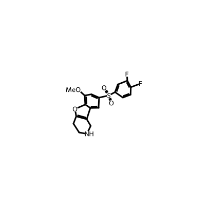 COc1cc(S(=O)(=O)c2ccc(F)c(F)c2)cc2c3c(oc12)CCNC3